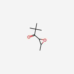 CC1OC1C(=O)C(C)(C)C